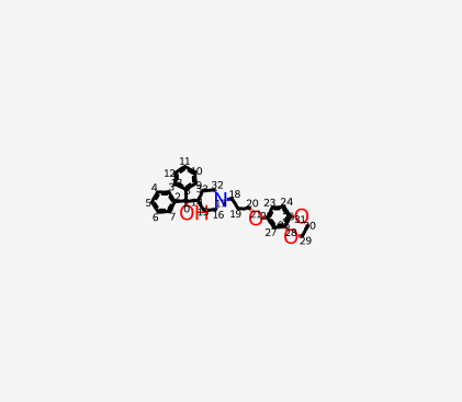 OC(c1ccccc1)(c1ccccc1)C1CCN(CCCOc2ccc3c(c2)OCCO3)CC1